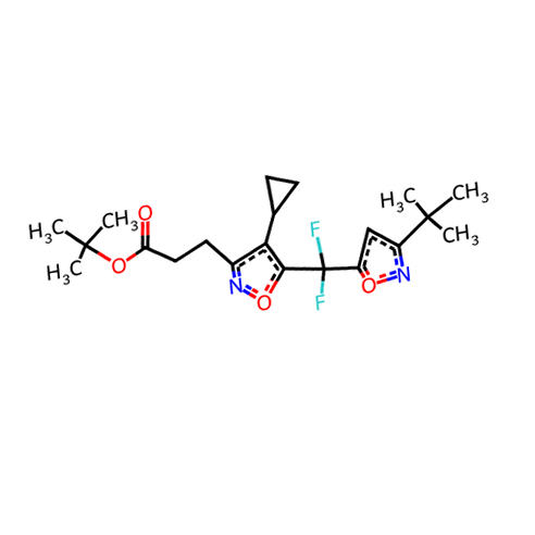 CC(C)(C)OC(=O)CCc1noc(C(F)(F)c2cc(C(C)(C)C)no2)c1C1CC1